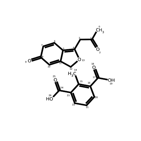 CC(=O)CC1=C2C=CC(=O)C=C2CO1.Cc1c(C(=O)O)cccc1C(=O)O